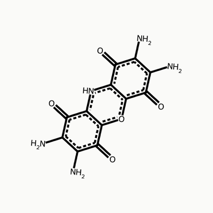 Nc1c(N)c(=O)c2oc3c(=O)c(N)c(N)c(=O)c3[nH]c2c1=O